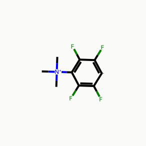 C[N+](C)(C)c1c(F)c(F)[c]c(F)c1F